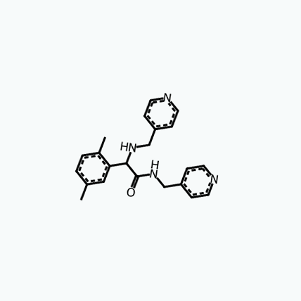 Cc1ccc(C)c(C(NCc2ccncc2)C(=O)NCc2ccncc2)c1